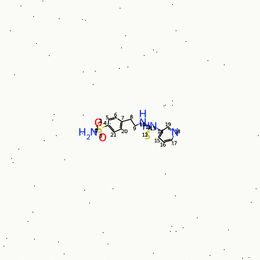 NS(=O)(=O)c1ccc(CCNC(=S)Nc2cccnc2)cc1